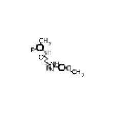 CCOc1ccc(-c2nnc(SCC(=O)Nc3cc(C)cc(F)c3)[nH]2)cc1